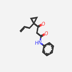 C=CCC1(C(=O)CC(=O)Nc2ccccc2)CC1